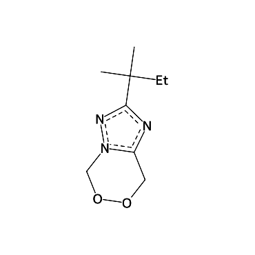 CCC(C)(C)c1nc2n(n1)COOC2